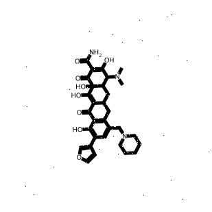 CN(C)C1C(O)=C(C(N)=O)C(=O)C2(O)C(O)=C3C(=O)c4c(O)c(-c5ccoc5)cc(CN5CCCCC5)c4CC3CC12